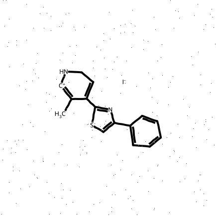 CC1=[C+]NCC=C1c1nc(-c2ccccc2)cs1.[I-]